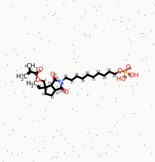 C=CC1(COC(=O)C(=C)C)CCC2C(=O)N(CCCCCCCCCCOP(=O)(O)O)C(=O)C21